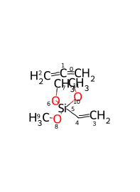 C=C=C.C=C[Si](OC)(OC)OC